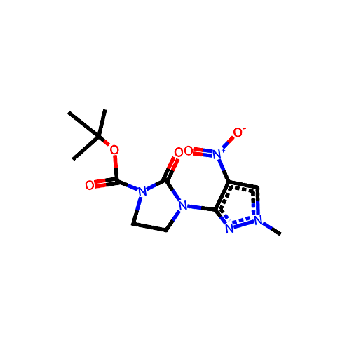 Cn1cc([N+](=O)[O-])c(N2CCN(C(=O)OC(C)(C)C)C2=O)n1